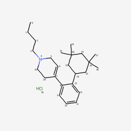 CCCCN1CC=C(c2ccccc2C2CC(C)(C)CC(C)(C)C2)CC1.Cl